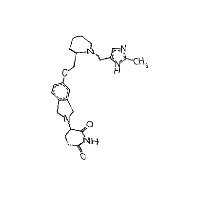 Cc1ncc(CN2CCCC[C@@H]2COc2ccc3c(c2)CN(C2CCC(=O)NC2=O)C3)[nH]1